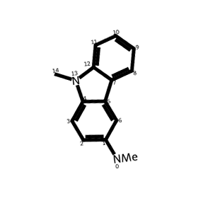 CNc1ccc2c(c1)c1ccccc1n2C